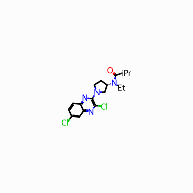 CCN(C(=O)C(C)C)[C@H]1CCN(c2nc3ccc(Cl)cc3nc2Cl)C1